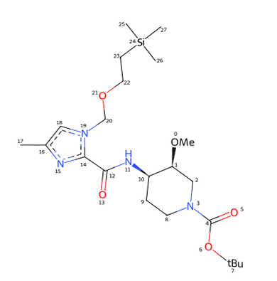 CO[C@H]1CN(C(=O)OC(C)(C)C)CC[C@H]1NC(=O)c1nc(C)cn1COCC[Si](C)(C)C